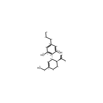 C=C(C)[C@H]1CCC(CO)=C[C@@H]1c1c(O)cc(CCC)cc1O